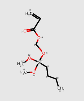 C=CC(=O)OCO[Si](CCCC)(OC)OC